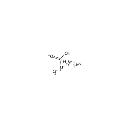 O=C([O-])[O-].[Cl-].[La+2].[NH4+]